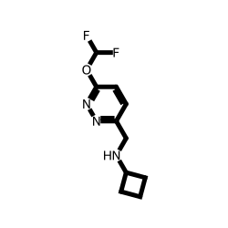 FC(F)Oc1ccc(CNC2CCC2)nn1